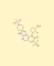 [2H]C1(Nc2ncc3cc(C([2H])(F)F)c(=O)n([C@H]4CC[C@H](O)[C@H]4C)c3n2)CCN(S(C)(=O)=O)CC1